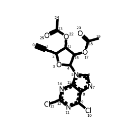 C#CC1OC(n2cnc3c(Cl)nc(Cl)nc32)C(OC(C)=O)C1OC(C)=O